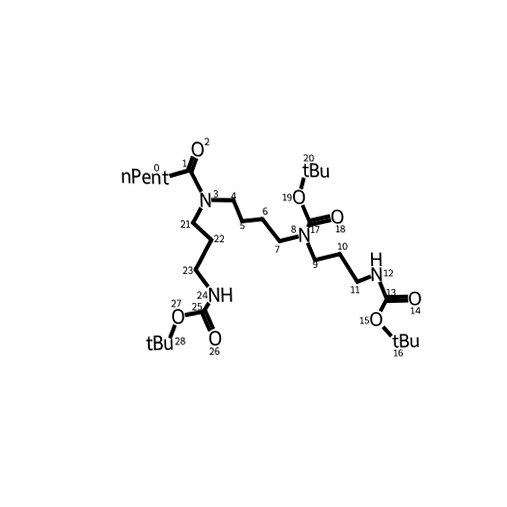 CCCCCC(=O)N(CCCCN(CCCNC(=O)OC(C)(C)C)C(=O)OC(C)(C)C)CCCNC(=O)OC(C)(C)C